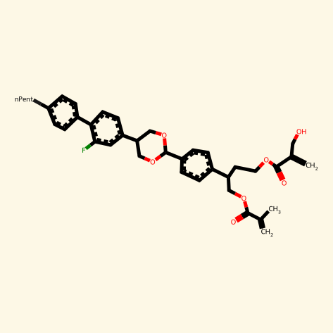 C=C(C)C(=O)OCC(CCOC(=O)C(=C)CO)c1ccc(C2OCC(c3ccc(-c4ccc(CCCCC)cc4)c(F)c3)CO2)cc1